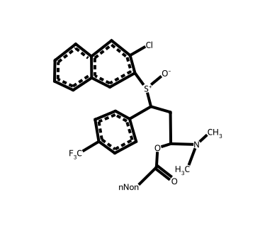 CCCCCCCCCC(=O)OC(CC(c1ccc(C(F)(F)F)cc1)[S+]([O-])c1cc2ccccc2cc1Cl)N(C)C